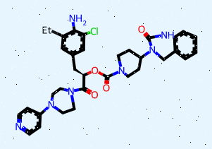 CCc1cc(C[C@@H](OC(=O)N2CCC(N3Cc4ccccc4NC3=O)CC2)C(=O)N2CCN(c3ccncc3)CC2)cc(Cl)c1N